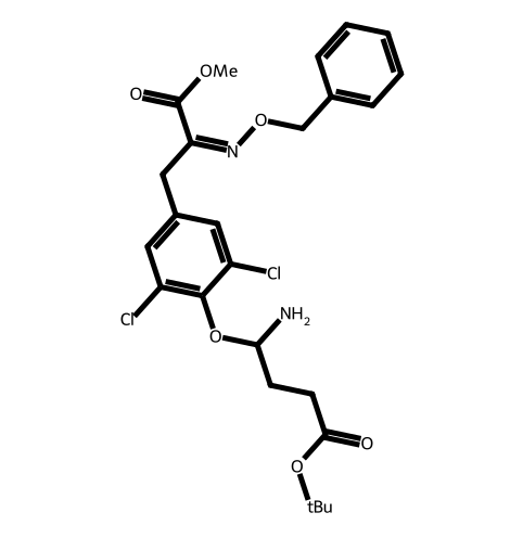 COC(=O)C(Cc1cc(Cl)c(OC(N)CCC(=O)OC(C)(C)C)c(Cl)c1)=NOCc1ccccc1